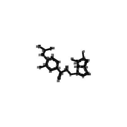 Cc1nn2ncc(CNC(=O)c3cnc(OC(F)F)c(F)c3)c2n1C